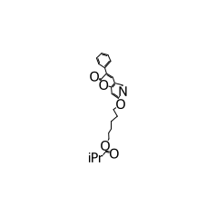 CC(C)C(=O)OCCCCCCOc1cc2oc(=O)c(-c3ccccc3)cc2cn1